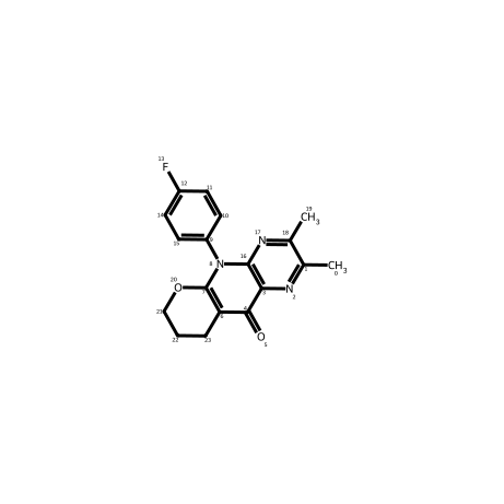 Cc1nc2c(=O)c3c(n(-c4ccc(F)cc4)c2nc1C)OCCC3